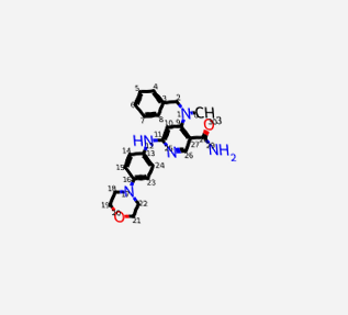 CN(Cc1ccccc1)c1cc(Nc2ccc(N3CCOCC3)cc2)ncc1C(N)=O